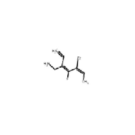 C=C/C(CN)=C(F)\C(=C/C)CC